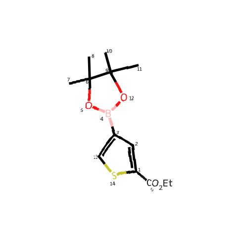 CCOC(=O)c1cc(B2OC(C)(C)C(C)(C)O2)cs1